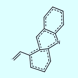 [CH]=Cc1cccc2nc3ccccc3cc12